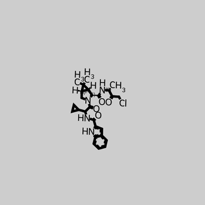 C[C@H](NC(=O)[C@@H]1[C@@H]2[C@H](CN1C(=O)C(NC(=O)c1cc3ccccc3[nH]1)C1CC1)C2(C)C)C(=O)CCl